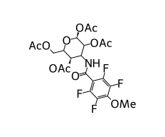 COc1c(F)c(F)c(C(=O)NC2C(OC(C)=O)[C@H](OC(C)=O)OC(COC(C)=O)[C@@H]2OC(C)=O)c(F)c1F